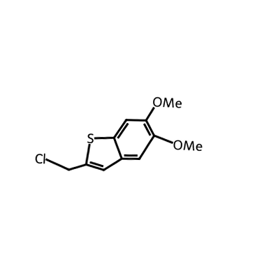 COc1cc2cc(CCl)sc2cc1OC